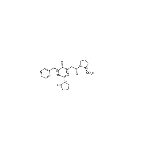 O=C(N[C@@H](Cc1ccccc1)C(=O)NCC(=O)N1CCC[C@H]1C(=O)O)[C@@H]1CCCN1